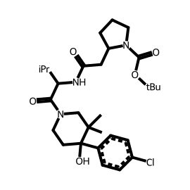 CC(C)C(NC(=O)CC1CCCN1C(=O)OC(C)(C)C)C(=O)N1CCC(O)(c2ccc(Cl)cc2)C(C)(C)C1